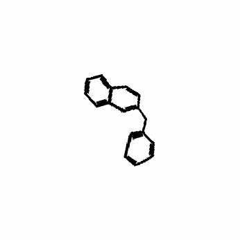 c1ccc(Cc2ccc3ccccc3c2)cc1